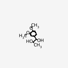 COc1ccc(C(O)C(C)O)cc1OC